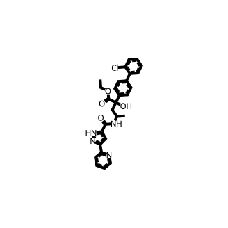 CCOC(=O)C(O)(CC(C)NC(=O)c1cc(-c2ccccn2)n[nH]1)c1ccc(-c2ccccc2Cl)cc1